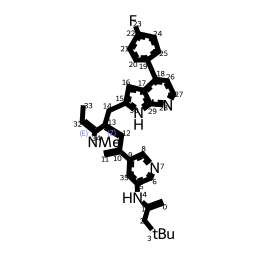 C=C(CC(C)(C)C)Nc1cncc(C(=C)/C=C(Cc2cc3c(-c4ccc(F)cc4)ccnc3[nH]2)\C(=C/C)NC)c1